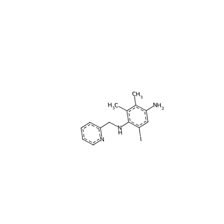 Cc1c(N)cc(I)c(NCc2ccccn2)c1C